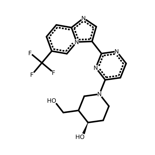 OCC1CN(c2ccnc(-c3cnc4ccc(C(F)(F)F)cn34)n2)CC[C@H]1O